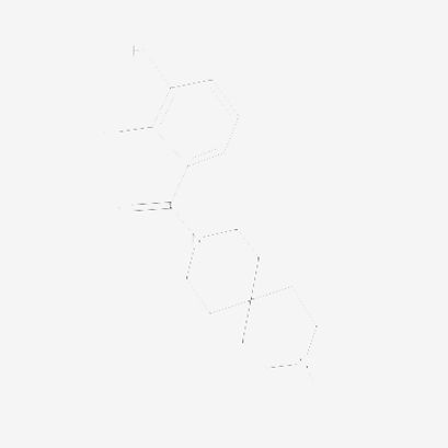 CN1CCC2(CC1)CCN(C(=O)c1cccc(Br)c1Cl)CC2